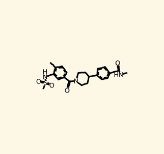 CNC(=O)c1ccc(C2CCN(C(=O)c3ccc(C)c(NS(C)(=O)=O)c3)CC2)cc1